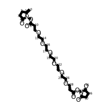 C=C1CCC(=O)N1OC(=O)CCOCCOCCOCCOCCOCCOCCC(=O)ON1C(=O)CCC1=O